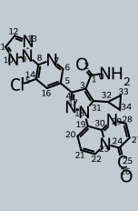 NC(=O)c1c(-c2cnc(-n3nccn3)c(Cl)c2)nn(C2=CC=CN3C(=C=O)C=CN=C23)c1C1CC1